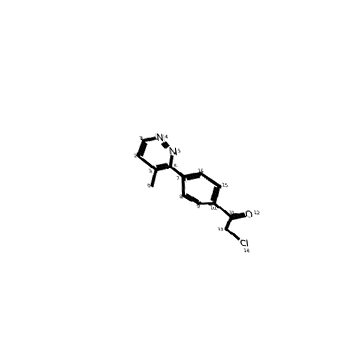 Cc1ccnnc1-c1ccc(C(=O)CCl)cc1